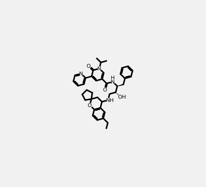 CCc1ccc2c(c1)C(NC[C@@H](O)[C@H](Cc1ccccc1)NC(=O)c1cc(-c3ccccn3)c(=O)n(C(C)C)c1)CC1(CCCC1)O2